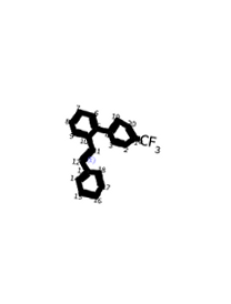 FC(F)(F)c1ccc(-c2ccccc2/C=C/c2ccccc2)cc1